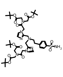 CC(C)(C)OC(=O)CN(CC(=O)OC(C)(C)C)C(=O)Cn1ccnc1CN(CCc1ccc(S(N)(=O)=O)cc1)Cc1nccn1CC(=O)N(CC(=O)OC(C)(C)C)CC(=O)OC(C)(C)C